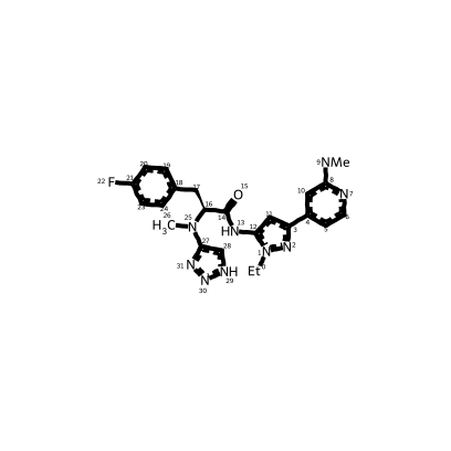 CCn1nc(-c2ccnc(NC)c2)cc1NC(=O)[C@H](Cc1ccc(F)cc1)N(C)c1c[nH]nn1